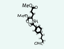 COC(=O)CCC(NC(=O)c1ccc(CCCC=O)cc1)C(=O)OC